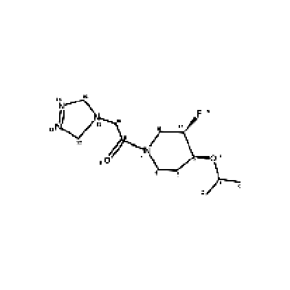 CC(C)O[C@H]1CCN(C(=O)CN2CN=NC2)C[C@H]1F